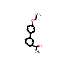 CCOc1ccc(-c2cccc(C(C)=O)c2)cc1